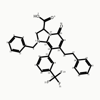 O=C(O)C1CN(Cc2ccccc2)c2c(-c3cccc(C(F)(F)F)c3)c(CCc3ccccc3)cc(=O)n21